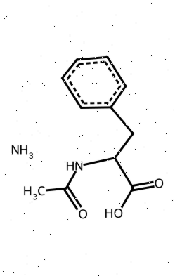 CC(=O)NC(Cc1ccccc1)C(=O)O.N